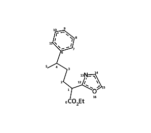 CCOC(=O)C(CCC(C)c1ccccc1)c1ncco1